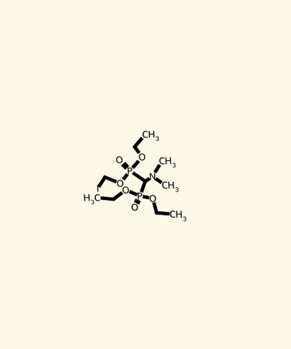 CCOP(=O)(OCC)C(N(C)C)P(=O)(OCC)OCI